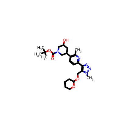 Cc1nc(-c2nnn(C)c2COC2CCCCO2)ccc1C1CC(O)CN(C(=O)OC(C)(C)C)C1